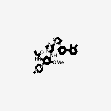 C=CC(=O)Nc1cc(Nc2cc(N3OCC[C@@H]3c3cccc(-c4cccc(C)c4C)c3)ncn2)c(OC)cc1N1CCN(C)CC1